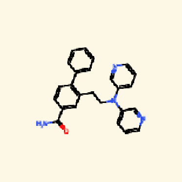 NC(=O)c1ccc(-c2ccccc2)c(CCN(c2cccnc2)c2cccnc2)c1